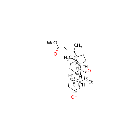 CC[C@H]1C(=O)[C@@H]2[C@H](CC[C@]3(C)[C@@H](C(C)CCC(=O)OC)CC[C@@H]23)[C@@]2(C)CC[C@@H](O)C[C@@H]12